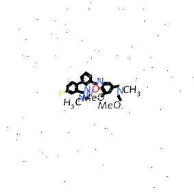 COCCN(C)Cc1cc(OC)c2oc(-c3cccc(-c4ccc(F)cc4-c4nncn4C)c3)nc2c1